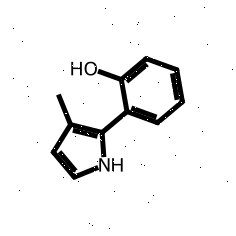 Cc1cc[nH]c1-c1ccccc1O